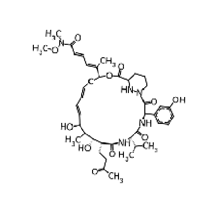 CON(C)C(=O)/C=C/C=C(\C)[C@@H]1C/C=C/C=C/[C@H](O)C(C)[C@@H](O)[C@@H](CCC(C)=O)C(=O)N[C@@H](C(C)C)C(=O)NC(c2cccc(O)c2)C(=O)N2CCCC(N2)C(=O)O1